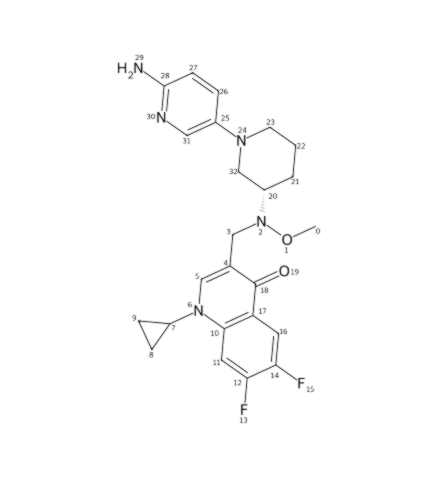 CON(Cc1cn(C2CC2)c2cc(F)c(F)cc2c1=O)[C@H]1CCCN(c2ccc(N)nc2)C1